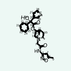 Cc1cc(NC(=O)C[N+]23CCC(CC2)C(OC(=O)[C@@](O)(c2ccccc2)c2ccsc2)C3)no1